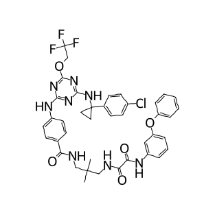 CC(C)(CNC(=O)C(=O)Nc1cccc(Oc2ccccc2)c1)CNC(=O)c1ccc(Nc2nc(NC3(c4ccc(Cl)cc4)CC3)nc(OCC(F)(F)F)n2)cc1